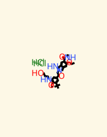 CCOc1cc2c(cc1C(=O)NC)C(=N)N(CC(=O)c1cc(NCCCO)c(OC)c(C(C)(C)C)c1)C2.Cl.Cl